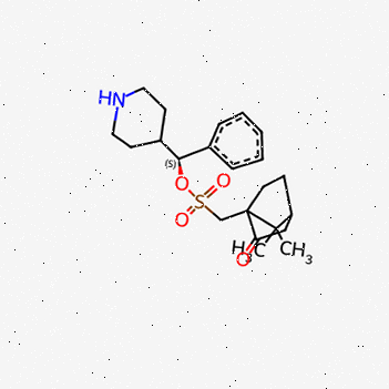 CC1(C)C2CCC1(CS(=O)(=O)O[C@H](c1ccccc1)C1CCNCC1)C(=O)C2